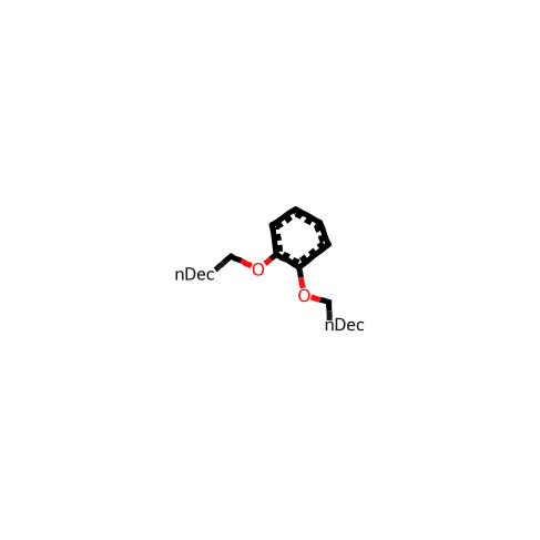 CCCCCCCCCCCOc1ccccc1OCCCCCCCCCCC